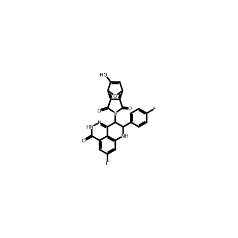 O=C1c2c(c3oc2cc3O)C(=O)N1C1c2n[nH]c(=O)c3cc(F)cc(c23)NC1c1ccc(F)cc1